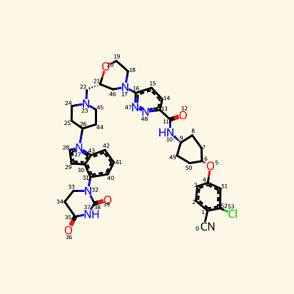 N#Cc1ccc(O[C@H]2CC[C@H](NC(=O)c3ccc(N4CCO[C@@H](CN5CCC(n6ccc7c(N8CCC(=O)NC8=O)cccc76)CC5)C4)nn3)CC2)cc1Cl